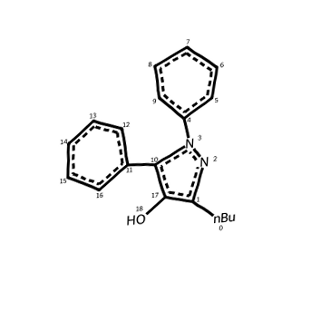 CCCCc1nn(-c2ccccc2)c(-c2ccccc2)c1O